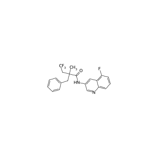 CC(Cc1ccccc1)(CC(F)(F)F)C(=O)Nc1cnc2cccc(F)c2c1